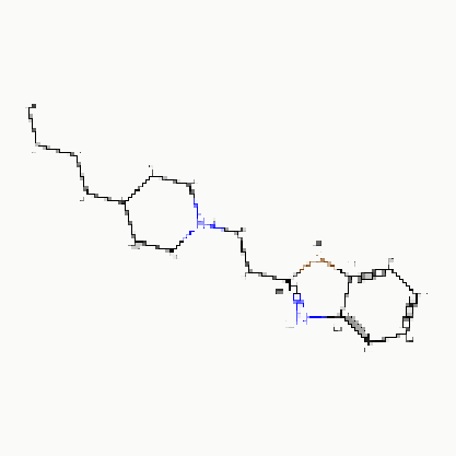 CCCCC1CCN(CCc2nc3ccccc3s2)CC1